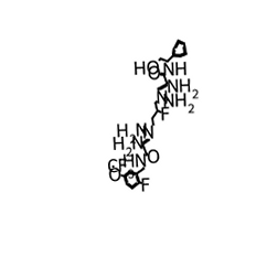 N/C(=C\N(N)CCC(F)CN(N)/C=C(\N)C(=O)NC(CO)c1ccccc1)C(=O)NCc1cc(OC(F)(F)F)ccc1F